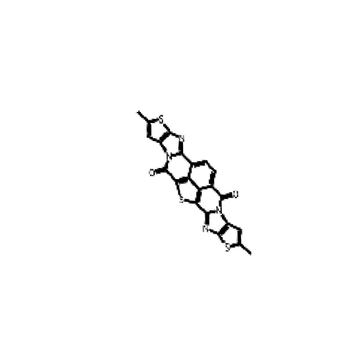 Cc1cc2c(nc3c4ccc5c(=O)n6c7cc(C)sc7nc6c6sc(c(=O)n23)c4c56)s1